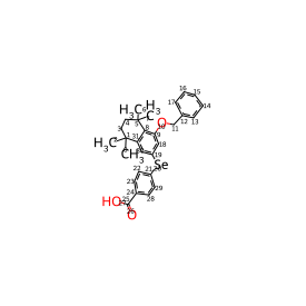 CC1(C)CCC(C)(C)c2c(OCc3ccccc3)cc([Se]c3ccc(C(=O)O)cc3)cc21